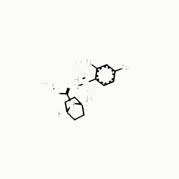 CC(C)(C)OC(=O)N1[C@H]2CC[C@@H]1[C@@H](NS(=O)(=O)c1ccc([N+](=O)[O-])cc1[N+](=O)[O-])C2